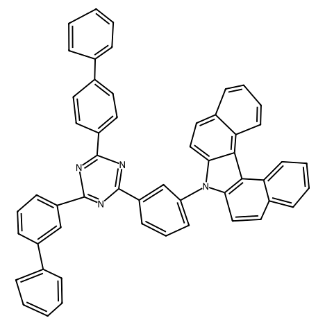 c1ccc(-c2ccc(-c3nc(-c4cccc(-c5ccccc5)c4)nc(-c4cccc(-n5c6ccc7ccccc7c6c6c7ccccc7ccc65)c4)n3)cc2)cc1